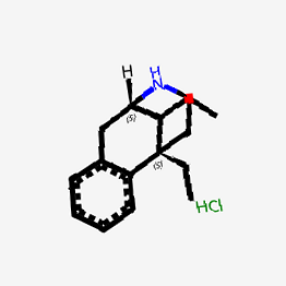 CCC1[C@@H]2Cc3ccccc3[C@@]1(CC)CCN2.Cl